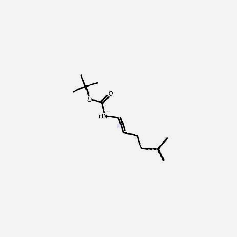 CC(C)CC/C=C/NC(=O)OC(C)(C)C